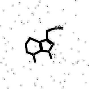 COCc1nn(C)c2c1CCCN2C